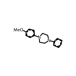 COc1ccc(N2CCN(c3ccccc3)CC2)cc1